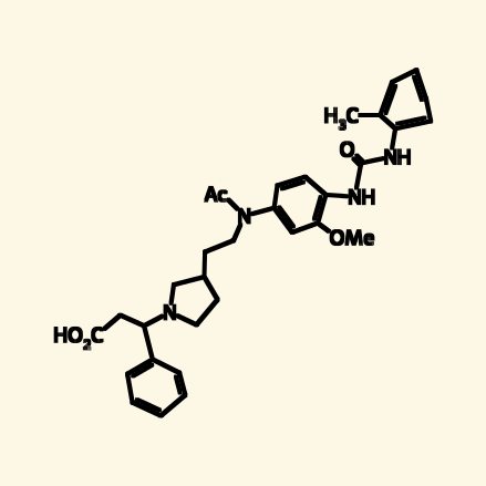 COc1cc(N(CCC2CCN(C(CC(=O)O)c3ccccc3)C2)C(C)=O)ccc1NC(=O)Nc1ccccc1C